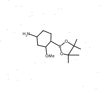 COC1CC(N)CCC1B1OC(C)(C)C(C)(C)O1